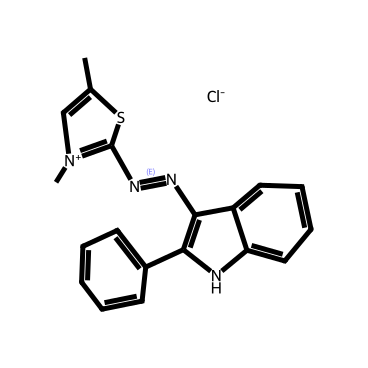 Cc1c[n+](C)c(/N=N/c2c(-c3ccccc3)[nH]c3ccccc23)s1.[Cl-]